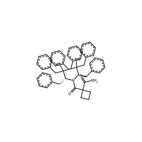 NC(=O)C1(C(=O)N([C@H](Cc2ccccc2)C(O)(Cc2ccccc2)Cc2ccccc2)[C@H](Cc2ccccc2)C(O)(Cc2ccccc2)Cc2ccccc2)CCC1